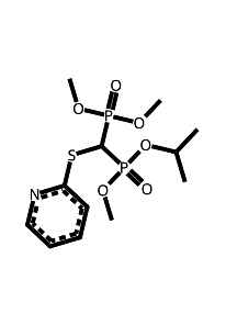 COP(=O)(OC)C(Sc1ccccn1)P(=O)(OC)OC(C)C